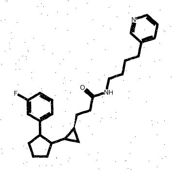 O=C(CC[C@H]1CC1C1CCCC1c1cccc(F)c1)NCCCCc1cccnc1